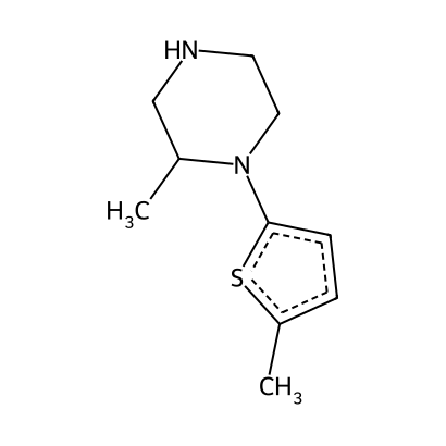 Cc1ccc(N2CCNCC2C)s1